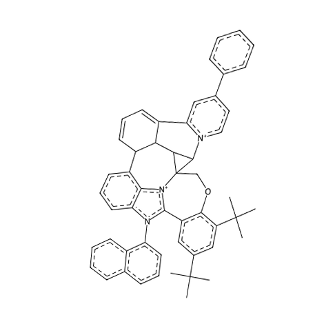 CC(C)(C)c1cc2c(c(C(C)(C)C)c1)OCC13C4C5C(=CC=CC5c5cccc6c5[n+]1c-2n6-c1cccc2ccccc12)c1cc(-c2ccccc2)cc[n+]1C43